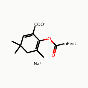 CCCCCC(=O)OC1=C(C)CC(C)(C)C=C1C(=O)[O-].[Na+]